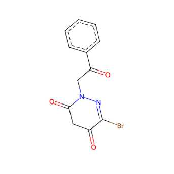 O=C1CC(=O)N(CC(=O)c2ccccc2)N=C1Br